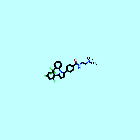 CN(C)CCNC(=O)c1ccc(-c2ccc(-c3ccc(F)cc3F)n2-c2ccccc2C(F)(F)F)cc1